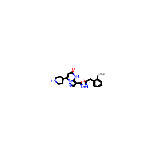 COc1ccccc1Cc1nnc(-c2cnn3c(C4CCNCC4)cc(=O)[nH]c23)o1